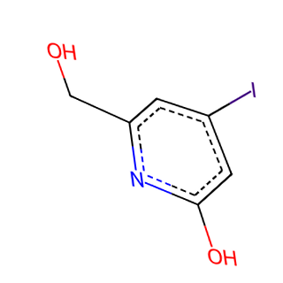 OCc1cc(I)cc(O)n1